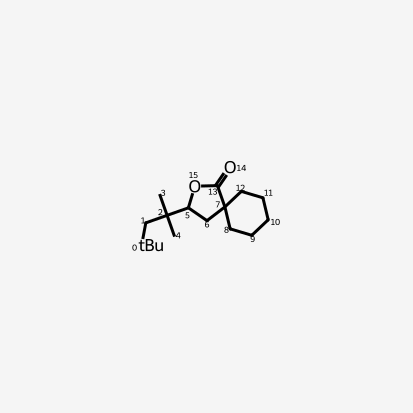 CC(C)(C)CC(C)(C)C1CC2(CCCCC2)C(=O)O1